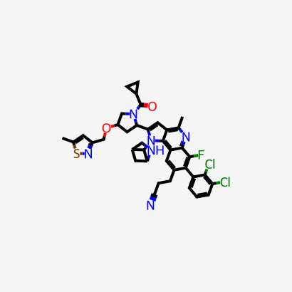 Cc1cc(COC2CC(c3cc4c(C)nc5c(F)c(-c6cccc(Cl)c6Cl)c(CCC#N)cc5c4n3C3C4CNC3C4)N(C(=O)C3CC3)C2)ns1